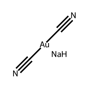 N#[C][Au][C]#N.[NaH]